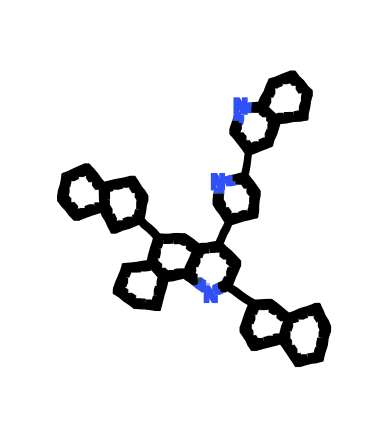 c1ccc2cc(-c3cc(-c4ccc(-c5cnc6ccccc6c5)nc4)c4cc(-c5ccc6ccccc6c5)c5ccccc5c4n3)ccc2c1